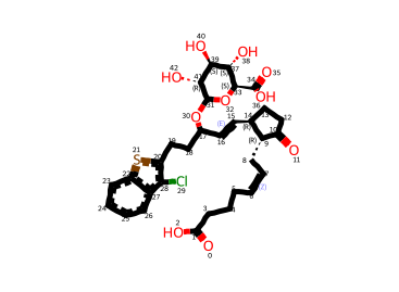 O=C(O)CCC/C=C\C[C@H]1C(=O)CC[C@@H]1/C=C/C(CCc1sc2ccccc2c1Cl)OC1O[C@H](C(=O)O)[C@@H](O)[C@H](O)[C@H]1O